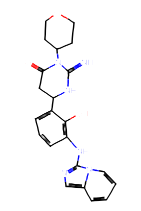 N=C1NC(c2cccc(Nc3ncc4ccccn34)c2O)CC(=O)N1C1CCOCC1